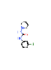 O=C(Nc1cccc(Cl)c1)NN1CC=CCC1